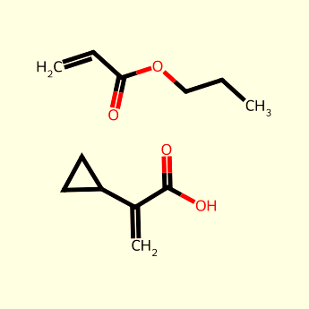 C=C(C(=O)O)C1CC1.C=CC(=O)OCCC